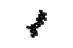 [2H]c1nc(C[S+]([O-])c2nc3nc(OC)c([2H])c([2H])c3n2[2H])c(C)c(OC([2H])([2H])[2H])c1C